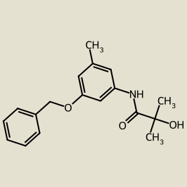 Cc1cc(NC(=O)C(C)(C)O)cc(OCc2ccccc2)c1